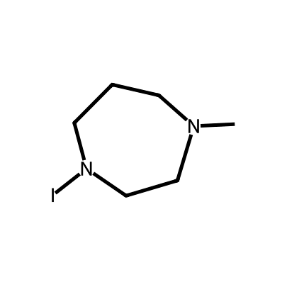 CN1CCCN(I)CC1